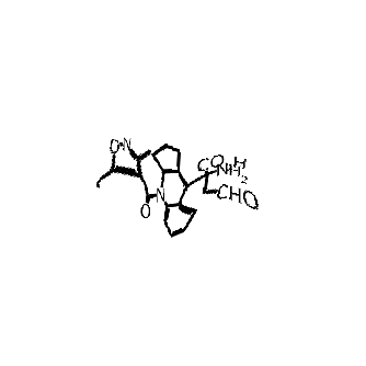 Cc1noc(C)c1C(=O)N1c2ccccc2C(C(N)(CC=O)C(=O)O)C2CCCC21